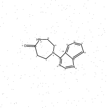 O=C1CCN(c2ncnc3ccccc23)CCN1